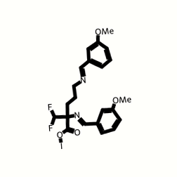 COc1cccc(/C=N/CCCC(/N=C/c2cccc(OC)c2)(C(=O)OI)C(F)F)c1